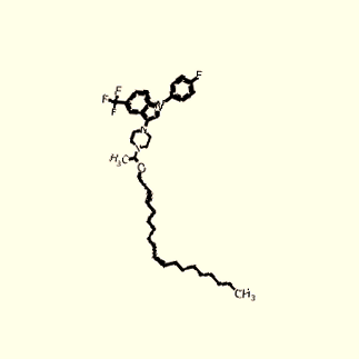 CCCCCCCC/C=C\CCCCCCCCOC(C)N1CCN(c2cn(-c3ccc(F)cc3)c3ccc(C(F)(F)F)cc23)CC1